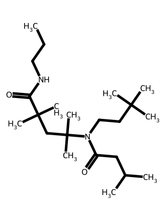 CCCNC(=O)C(C)(C)CC(C)(C)N(CCC(C)(C)C)C(=O)CC(C)C